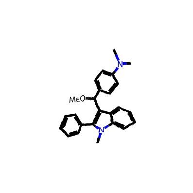 COC(c1ccc(N(C)C)cc1)c1c(-c2ccccc2)n(C)c2ccccc12